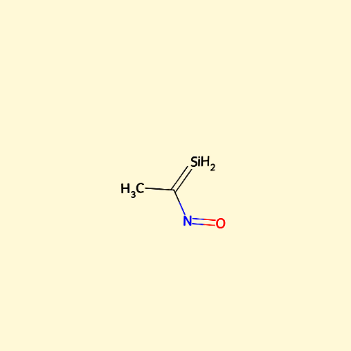 CC(=[SiH2])N=O